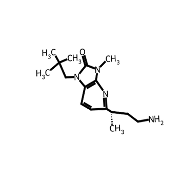 C[C@@H](CCN)c1ccc2c(n1)n(C)c(=O)n2CC(C)(C)C